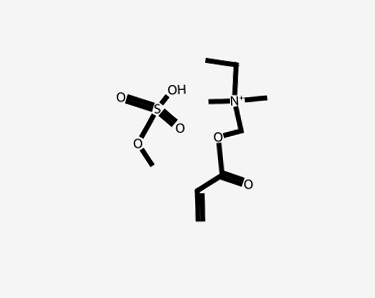 C=CC(=O)OC[N+](C)(C)CC.COS(=O)(=O)O